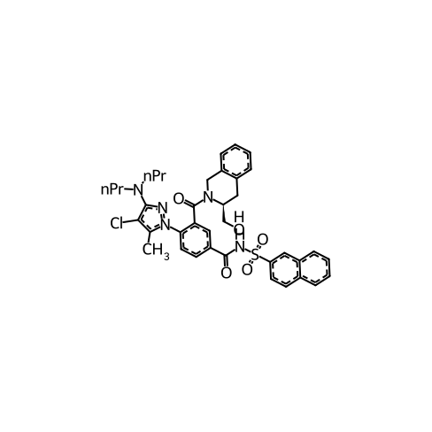 CCCN(CCC)c1nn(-c2ccc(C(=O)NS(=O)(=O)c3ccc4ccccc4c3)cc2C(=O)N2Cc3ccccc3C[C@H]2CO)c(C)c1Cl